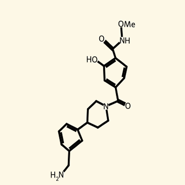 CONC(=O)c1ccc(C(=O)N2CCC(c3cccc(CN)c3)CC2)cc1O